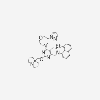 CCc1cccc2cccc(N3CCc4c(nc(OCC56CCCN5CCC6)nc4N4CCOCC(n5cccn5)C4)C3)c12